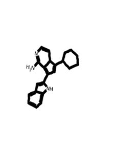 NC1=NC=CC2C(C3CCCCC3)=CC(c3cc4ccccc4[nH]3)=C12